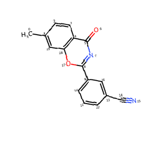 Cc1ccc2c(=O)nc(-c3cccc(C#N)c3)oc2c1